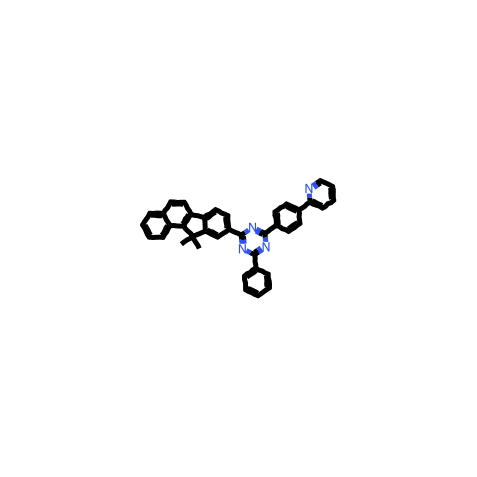 CC1(C)c2cc(-c3nc(-c4ccccc4)nc(-c4ccc(-c5ccccn5)cc4)n3)ccc2-c2ccc3ccccc3c21